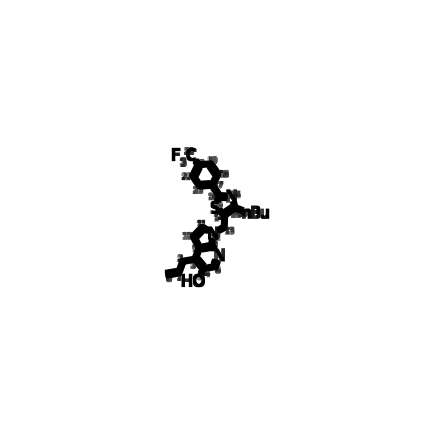 C=CCc1c(O)cnc2c1ccn2Cc1sc(-c2ccc(C(F)(F)F)cc2)nc1CCCC